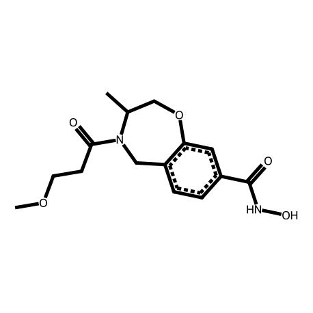 COCCC(=O)N1Cc2ccc(C(=O)NO)cc2OCC1C